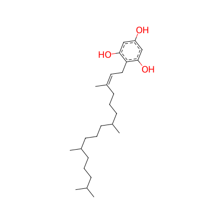 CC(=CCc1c(O)cc(O)cc1O)CCCC(C)CCCC(C)CCCC(C)C